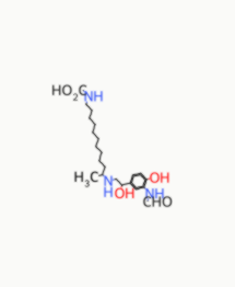 CC(CCCCCCCCCCNC(=O)O)NCC(O)c1ccc(O)c(NC=O)c1